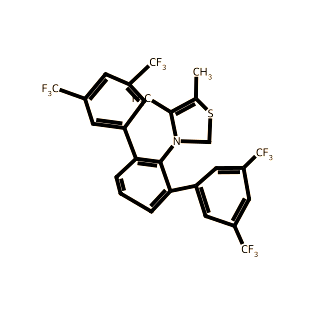 CC1=C(C)N(c2c(-c3cc(C(F)(F)F)cc(C(F)(F)F)c3)cccc2-c2cc(C(F)(F)F)cc(C(F)(F)F)c2)CS1